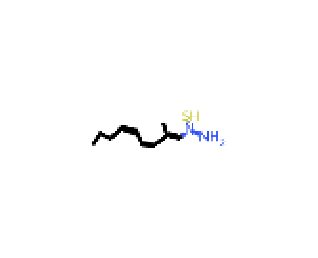 CCC\C=C/C=C\C(C)=C\N(N)S